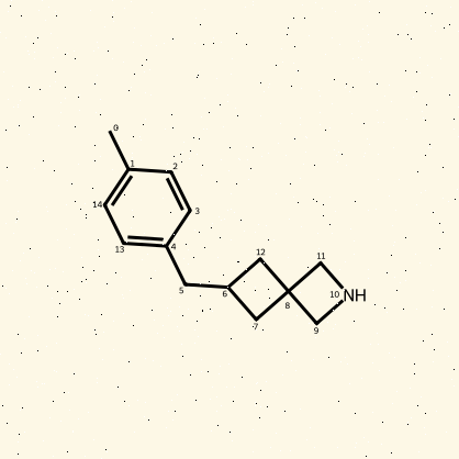 Cc1ccc(CC2CC3(CNC3)C2)cc1